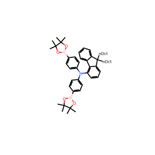 CCCCCCCCC1(CCCCCCCC)c2ccccc2-c2c(N(c3ccc(B4OC(C)(C)C(C)(C)O4)cc3)c3ccc(B4OC(C)(C)C(C)(C)O4)cc3)cccc21